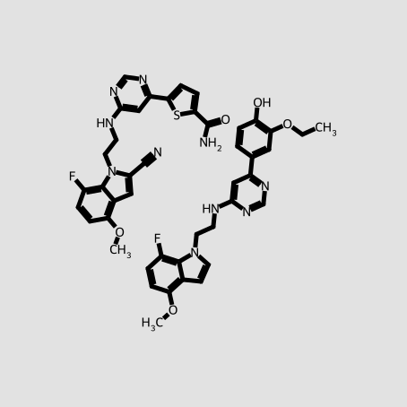 CCOc1cc(-c2cc(NCCn3ccc4c(OC)ccc(F)c43)ncn2)ccc1O.COc1ccc(F)c2c1cc(C#N)n2CCNc1cc(-c2ccc(C(N)=O)s2)ncn1